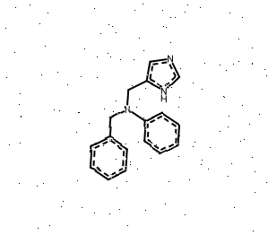 c1ccc(CN(Cc2cnc[nH]2)c2ccccc2)cc1